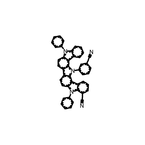 N#Cc1cccc(-n2c3c(ccc4c3c3ccccc3n4-c3ccccc3)c3ccc4c(c5cccc(C#N)c5n4-c4ccccc4)c32)c1